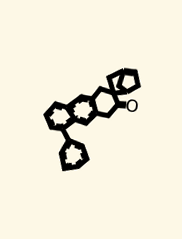 O=C1Cc2cc3c(-c4ccccc4)cccc3cc2CC12CC1=CCC2C1